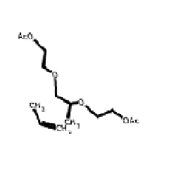 C=CC.CC(=O)OCCOCC(C)OCCOC(C)=O